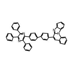 c1ccc(-c2nc(-c3ccccc3)c(-c3ccc(-c4ccc(-c5cc6ccccc6n6c5nc5ccccc56)cc4)cc3)nc2-c2ccccc2)cc1